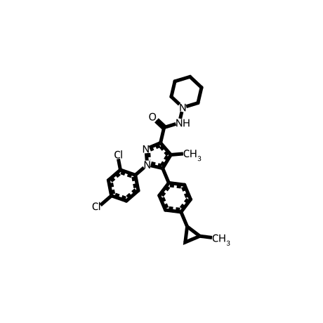 Cc1c(C(=O)NN2CCCCC2)nn(-c2ccc(Cl)cc2Cl)c1-c1ccc(C2CC2C)cc1